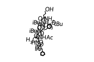 CC[C@H](C)[C@H](NC(=O)[C@H](Cc1ccc(OC(C)(C)C)cc1)N(C)C(=O)[C@@H](NC(=O)[C@@H](N)CCCO)[C@@H](C)CC)C(=O)O[C@H](C)[C@H](NC(C)=O)C(=O)N[C@@H](CC(C)C)C(=O)OCc1ccccc1